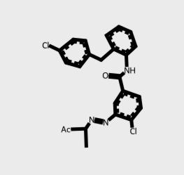 CC(=O)C(C)N=Nc1cc(C(=O)Nc2ccccc2Cc2ccc(Cl)cc2)ccc1Cl